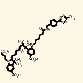 C=C(/C=C/C=C/C=C1/N(CCCS(=O)(=O)O)c2ccc(S(=O)(=O)O)cc2C1(C)C)C(C)(C)c1cc(S(=O)(=O)O)ccc1NCCCCCC(=O)NCc1ccc(-c2nnc(C)nn2)cc1